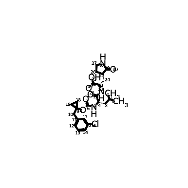 CC(C)C[C@H](NC(=O)OC1(Cc2cccc(Cl)c2)CC1)C(=O)N[C@@H](C[C@@H]1CCNC1=O)C(=O)O